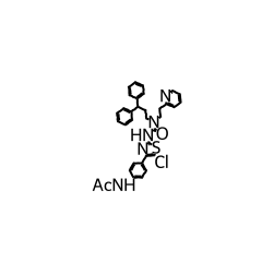 CC(=O)Nc1ccc(-c2nc(NC(=O)N(CCc3ccccn3)CCC(c3ccccc3)c3ccccc3)sc2Cl)cc1